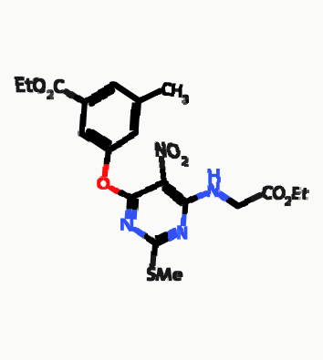 CCOC(=O)CNc1nc(SC)nc(Oc2cc(C)cc(C(=O)OCC)c2)c1[N+](=O)[O-]